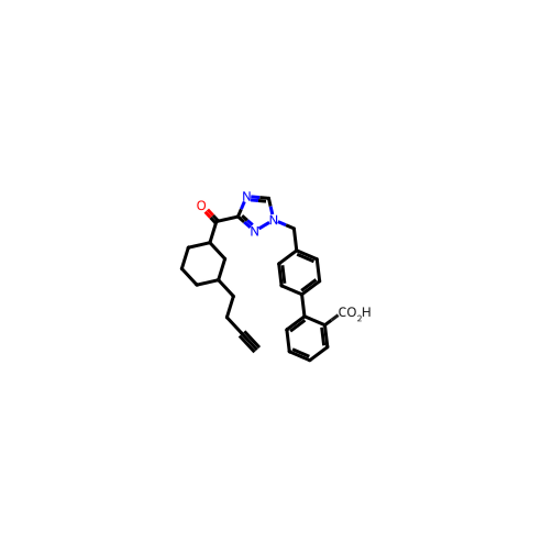 C#CCCC1CCCC(C(=O)c2ncn(Cc3ccc(-c4ccccc4C(=O)O)cc3)n2)C1